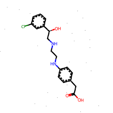 O=C(O)Cc1ccc(NCCNC[C@H](O)c2cccc(Cl)c2)cc1